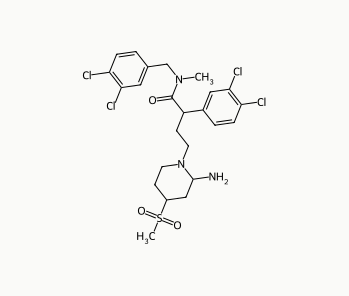 CN(Cc1ccc(Cl)c(Cl)c1)C(=O)C(CCN1CCC(S(C)(=O)=O)CC1N)c1ccc(Cl)c(Cl)c1